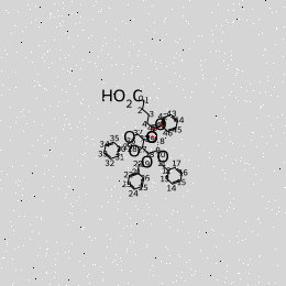 O=C(O)CCCCC(=O)OC[C@H](OCc1ccccc1)C(OCc1ccccc1)C1O[C@H](c2ccccc2)OC[C@@H]1OCc1ccccc1